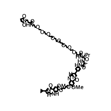 COc1cc2c(cc1OCCCOc1cc3c(cc1OC)C(=O)N1C=C(C4CC4)C[C@H]1CN3)N=C[C@@H]1CC(c3ccc(NC(=O)[C@H](C)NC(=O)[C@@H](NC(=O)CCOCCOCCOCCOCCOCCOCCOCCOCCNC(=O)CCN4C(=O)C=CC4=O)C(C)C)cc3)=CN1C2=O